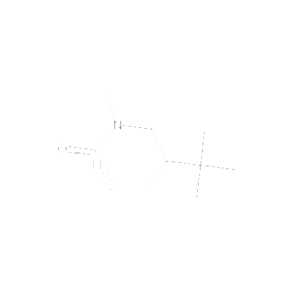 CC(CN(C)[SH](=O)=O)C(C)(C)C